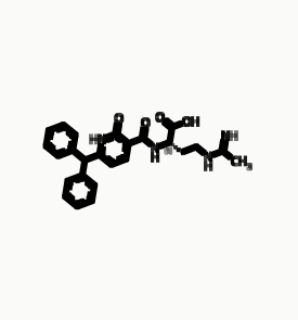 CC(=N)NCC[C@H](NC(=O)c1ccc(C(c2ccccc2)c2ccccc2)[nH]c1=O)C(=O)O